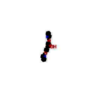 CC(CC(=O)O)(c1ccc(OCc2ccc3ccccc3n2)cc1)c1ccc(OCc2ccc3ccccc3n2)cc1